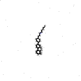 FCCC/C=C/CCC1CCC(c2ccc(-c3cccc(F)c3F)c(F)c2)CC1